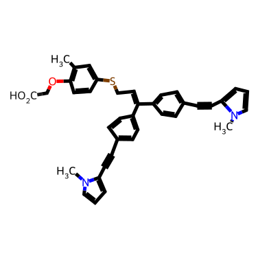 Cc1cc(SCC=C(c2ccc(C#Cc3cccn3C)cc2)c2ccc(C#Cc3cccn3C)cc2)ccc1OCC(=O)O